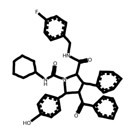 O=C(c1ccccc1)C1C(c2ccccc2)C(C(=O)NCc2ccc(F)cc2)N(C(=O)NC2CCCCC2)C1c1ccc(O)cc1